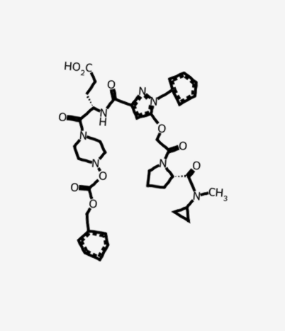 CN(C(=O)[C@@H]1CCCN1C(=O)COc1cc(C(=O)N[C@@H](CCC(=O)O)C(=O)N2CCN(OC(=O)OCc3ccccc3)CC2)nn1-c1ccccc1)C1CC1